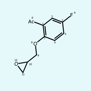 CC(=O)c1cc(F)ccc1OCC1CO1